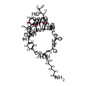 CC[C@H](C)[C@H]1NC(=O)[C@@H](NC(=O)[C@H](C)[C@H](O)C(C)C)[C@@H](C)OC(=O)[C@@H]2COC(=O)CNC(=O)/C=C/[C@](O)(CSCCCCCCN)[C@@H](C)OC3=CC=C(CC3)[C@H](NC1=O)C(=O)N(C)C(Cc1ccccc1)C(=O)N[C@H]([C@@H](C)O)C(=O)N2